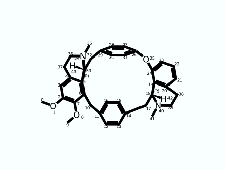 COc1cc2c3c(c1OC)Cc1ccc(cc1)C[C@@H]1c4c(cccc4Oc4ccc(cc4)C[C@H]3N(C)CC2)CCN1C